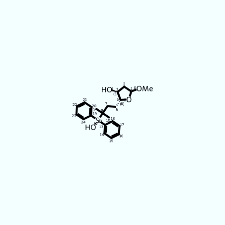 COC1C[C@H](O)[C@@H](CCC(C)(C)[Si](O)(c2ccccc2)c2ccccc2)O1